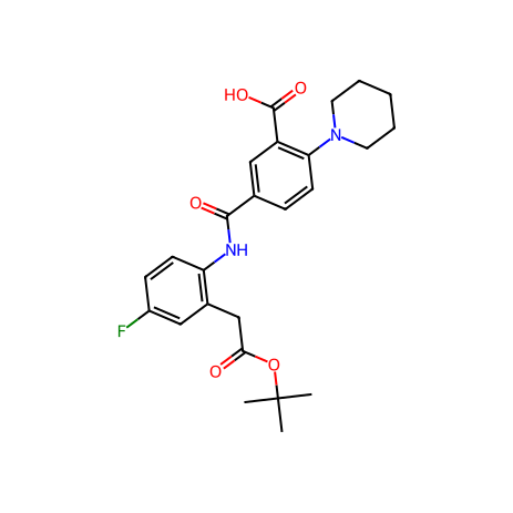 CC(C)(C)OC(=O)Cc1cc(F)ccc1NC(=O)c1ccc(N2CCCCC2)c(C(=O)O)c1